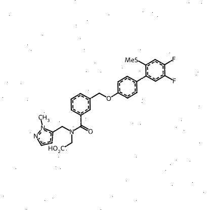 CSc1cc(F)c(F)cc1-c1ccc(OCc2cccc(C(=O)N(CC(=O)O)Cc3ccnn3C)c2)cc1